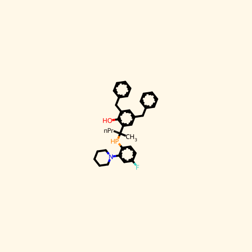 CCCC(C)(Pc1ccc(F)cc1N1CCCCC1)c1cc(Cc2ccccc2)cc(Cc2ccccc2)c1O